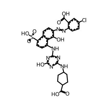 O=C(O)c1cc(Cl)ccc1N=Nc1ccc2c(S(=O)(=O)O)ccc(Nc3nc(O)nc(NC4CCC(C(=O)O)CC4)n3)c2c1O